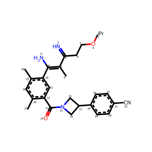 C/C(C(=N)CCOC(C)C)=C(/N)c1cc(C(=O)N2CC(c3ccc(C#N)cc3)C2)c(C)cc1C